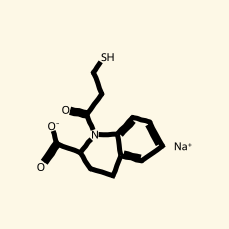 O=C([O-])C1CCc2ccccc2N1C(=O)CCS.[Na+]